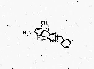 Cc1cc(N)cc(C)c1O/C(C=N)=C/NCc1ccccc1